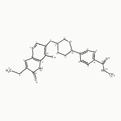 CCc1cc2ncc(CN3CCN(c4ccc(C(=O)NC)nc4)CC3)c(F)c2[nH]c1=O